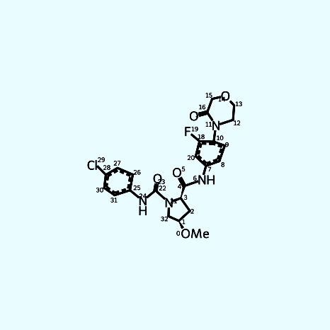 CO[C@@H]1C[C@H](C(=O)Nc2ccc(N3CCOCC3=O)c(F)c2)N(C(=O)Nc2ccc(Cl)cc2)C1